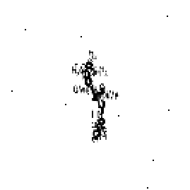 CNC(=O)C(CC1(COc2cc3c(NC(C)c4cc(N)cc(C(F)(F)F)c4)nc(C)nc3cc2OC)CC1)N1CCC(CNc2ccc3c(c2)C(=O)N(C2CCC(=O)NC2=O)C3=O)CC1